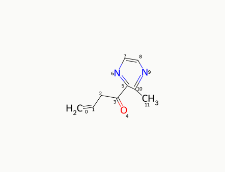 C=CCC(=O)c1nccnc1C